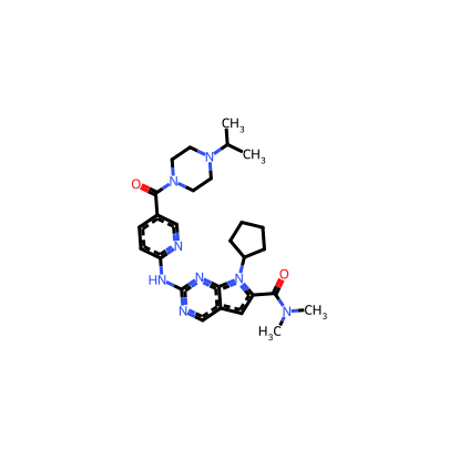 CC(C)N1CCN(C(=O)c2ccc(Nc3ncc4cc(C(=O)N(C)C)n(C5CCCC5)c4n3)nc2)CC1